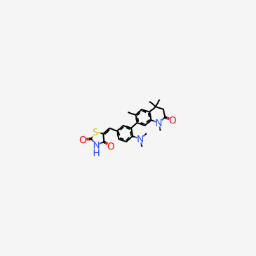 Cc1cc2c(cc1-c1cc(/C=C3/SC(=O)NC3=O)ccc1N(C)C)N(C)C(=O)CC2(C)C